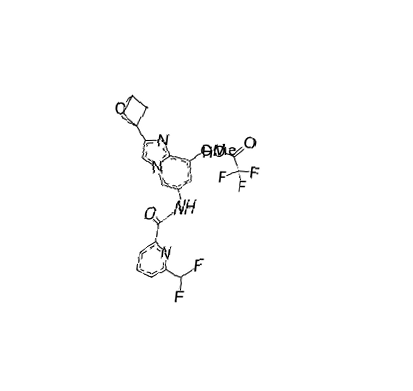 COc1cc(NC(=O)c2cccc(C(F)F)n2)cn2cc(C34COC(C3)C4)nc12.O=C(O)C(F)(F)F